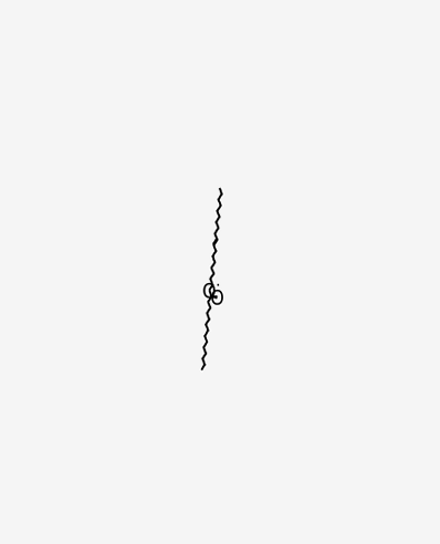 CCCCCCCCC/C=C/CCCCCC[CH]OC(=O)CCCCCCCCCCCCC